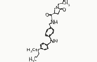 CCN1CC(C(=O)NCc2ccc(Nc3ccc(N(C)CC)cc3)cc2)CC1=O